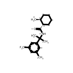 Cc1cc(C(F)(F)F)cc(C(C)(C)NC(=O)[C@H]2CCCC[C@@H]2C)c1